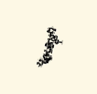 O=C(O)c1cc(S(=O)(=O)c2ccc(CCN(Cc3ccccc3)C(=O)C(F)(F)F)cc2)ccc1OCc1ccccc1